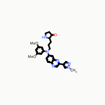 COc1cc(OC)cc(N(CCCC2NCCC2=O)c2ccc3ncc(-c4cnn(C)c4)nc3c2)c1